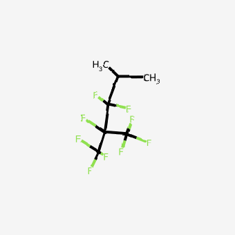 CC(C)C(F)(F)C(F)(C(F)(F)F)C(F)(F)F